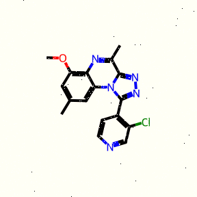 COc1cc(C)cc2c1nc(C)c1nnc(-c3ccncc3Cl)n12